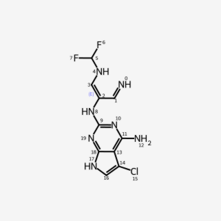 N=C/C(=C\NC(F)F)Nc1nc(N)c2c(Cl)c[nH]c2n1